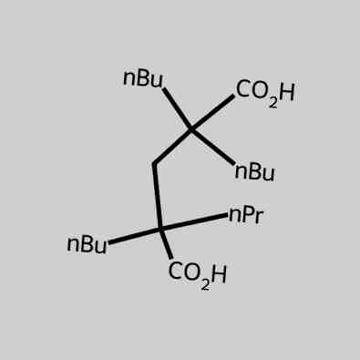 CCCCC(CCC)(CC(CCCC)(CCCC)C(=O)O)C(=O)O